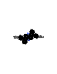 CC(C)(C)c1ccc(-c2c3ccccc3c3nc4ccc5c(-c6ccc(C(C)(C)C)cc6)c6ccccc6c6nc7ccc2c3c7c4c56)cc1